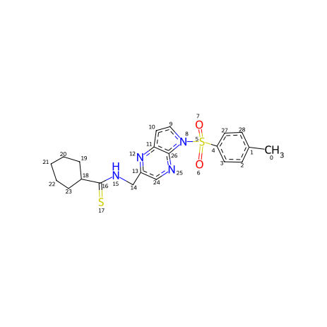 Cc1ccc(S(=O)(=O)n2ccc3nc(CNC(=S)C4CCCCC4)cnc32)cc1